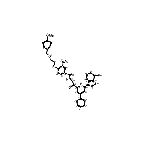 COc1ccc(COCCOc2ccc(C(=O)NCC(=O)c3cc(-c4ccccc4)cc(-c4csc5c(F)cccc45)n3)cc2OC)cc1